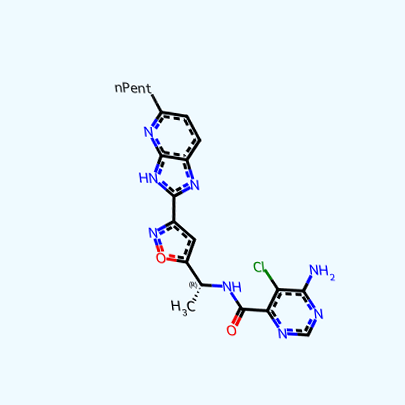 CCCCCc1ccc2nc(-c3cc([C@@H](C)NC(=O)c4ncnc(N)c4Cl)on3)[nH]c2n1